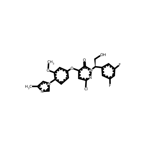 COc1cc(Oc2cc(Cl)nn([C@@H](CO)c3cc(F)cc(F)c3)c2=O)ccc1-n1cnc(C)c1